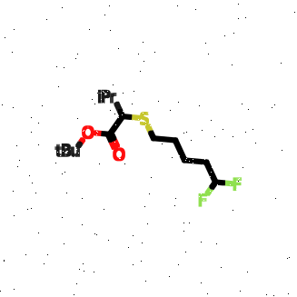 CC(C)C(SCCCCC(F)F)C(=O)OC(C)(C)C